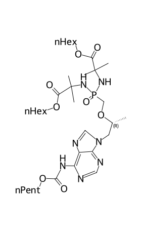 CCCCCCOC(=O)C(C)(C)NP(=O)(CO[C@H](C)Cn1cnc2c(NC(=O)OCCCCC)ncnc21)NC(C)(C)C(=O)OCCCCCC